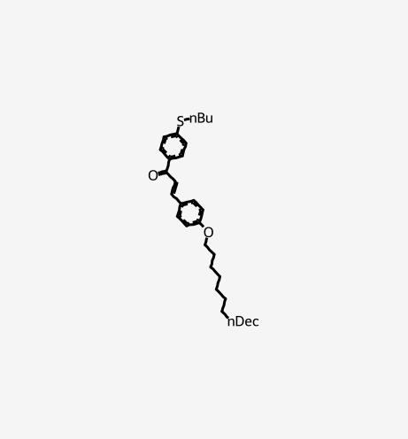 CCCCCCCCCCCCCCCCCOc1ccc(C=CC(=O)c2ccc(SCCCC)cc2)cc1